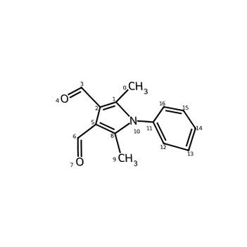 Cc1c(C=O)c(C=O)c(C)n1-c1ccccc1